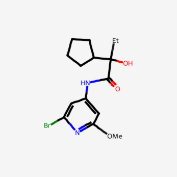 CCC(O)(C(=O)Nc1cc(Br)nc(OC)c1)C1CCCC1